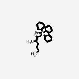 CCCC/C(C)=C(/F)CP(Br)(c1ccccc1)(c1ccccc1)c1ccccc1